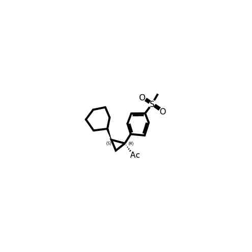 CC(=O)[C@]1(c2ccc(S(C)(=O)=O)cc2)C[C@H]1C1CCCCC1